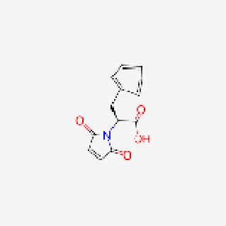 O=C(O)[C@H](Cc1ccccc1)N1C(=O)C=CC1=O